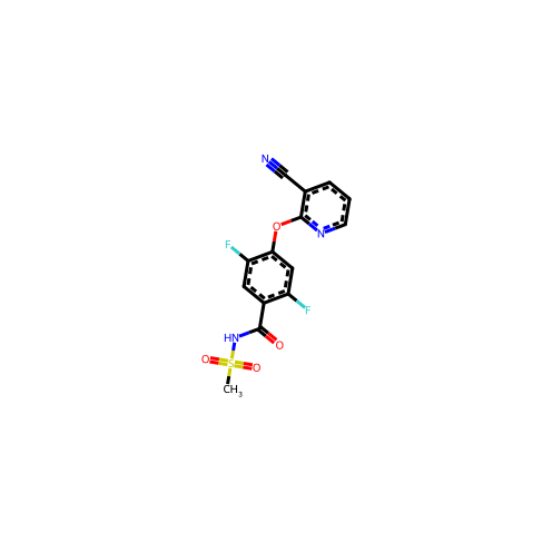 CS(=O)(=O)NC(=O)c1cc(F)c(Oc2ncccc2C#N)cc1F